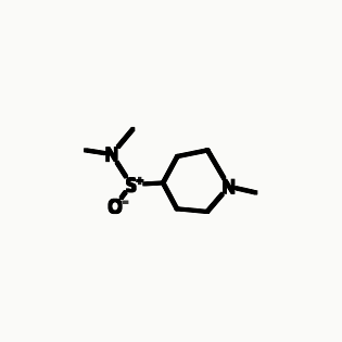 CN1CCC([S+]([O-])N(C)C)CC1